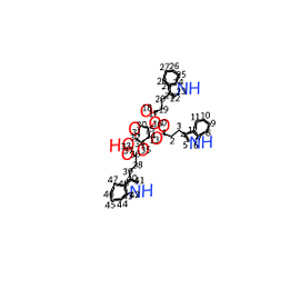 O=C(CCc1c[nH]c2ccccc12)O[C@H]1[C@H](OC(=O)CCc2c[nH]c3ccccc23)COC(O)[C@@H]1OC(=O)CCc1c[nH]c2ccccc12